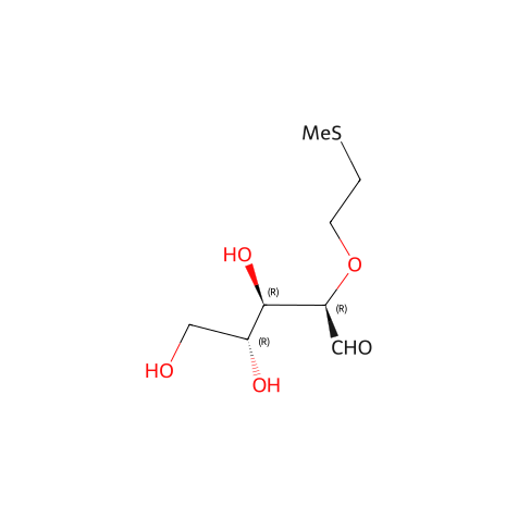 CSCCO[C@@H](C=O)[C@H](O)[C@H](O)CO